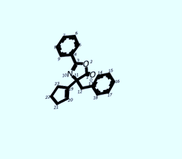 O=C1OC(c2ccccc2)=NC1(Cc1ccccc1)C1=CCCC1